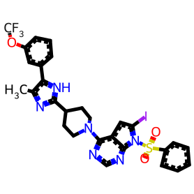 Cc1nc(C2CCN(c3ncnc4c3cc(I)n4S(=O)(=O)c3ccccc3)CC2)[nH]c1-c1cccc(OC(F)(F)F)c1